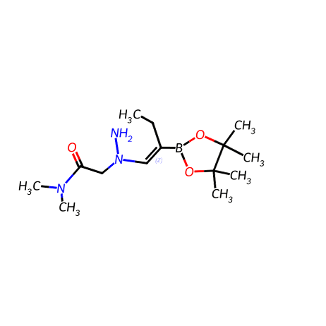 CC/C(=C\N(N)CC(=O)N(C)C)B1OC(C)(C)C(C)(C)O1